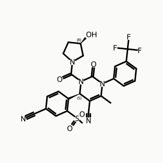 CC1=C(C#N)[C@@H](c2ccc(C#N)cc2S(C)(=O)=O)N(C(=O)N2CC[C@@H](O)C2)C(=O)N1c1cccc(C(F)(F)F)c1